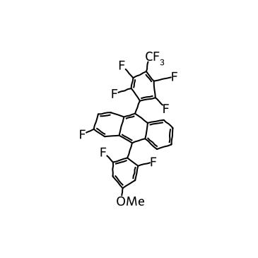 COc1cc(F)c(-c2c3ccccc3c(-c3c(F)c(F)c(C(F)(F)F)c(F)c3F)c3ccc(F)cc23)c(F)c1